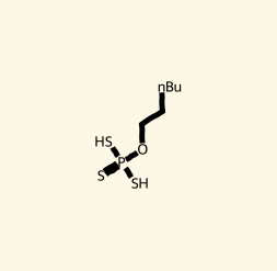 CCCCCCOP(=S)(S)S